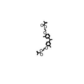 C=C(C)C(=O)OCCOc1ccc(C(C)c2ccc(OCCOC(=O)C(=C)C)c(C)c2)cc1C